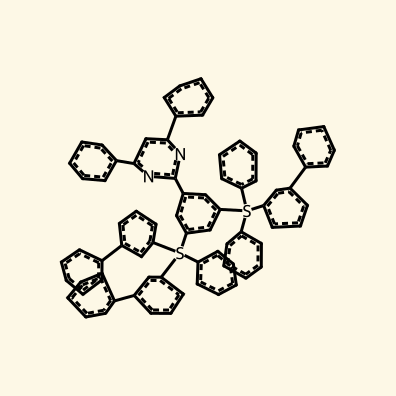 c1ccc(-c2cccc(S(c3ccccc3)(c3ccccc3)c3cc(-c4nc(-c5ccccc5)cc(-c5ccccc5)n4)cc(S(c4ccccc4)(c4cccc(-c5ccccc5)c4)c4cccc(-c5ccccc5)c4)c3)c2)cc1